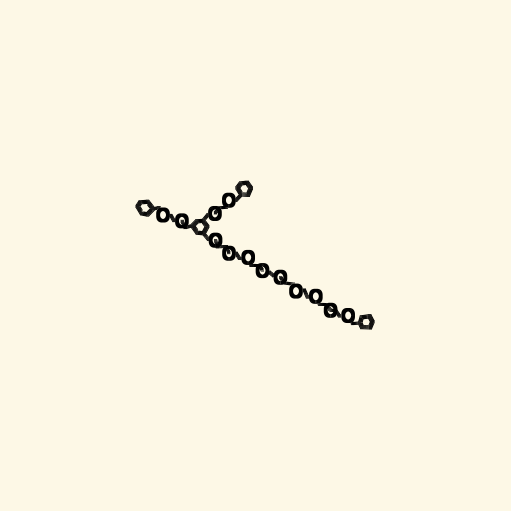 c1ccc(COCCOCCOCCOCCOCCOCCOCCOCCOCc2cc(COCCOCc3ccccc3)cc(COCCOCc3ccccc3)c2)cc1